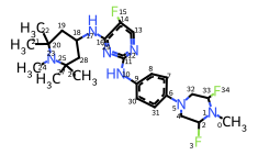 CN1C(F)CN(c2ccc(Nc3ncc(F)c(NC4CC(C)(C)N(C)C(C)(C)C4)n3)cc2)CC1F